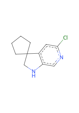 Clc1cc2c(cn1)NCC21CCCC1